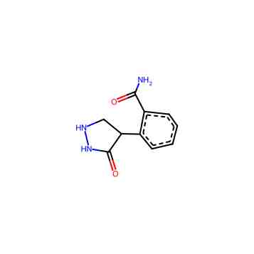 NC(=O)c1ccccc1C1CNNC1=O